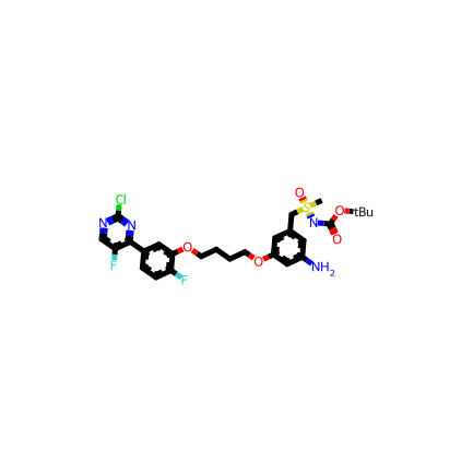 CC(C)(C)OC(=O)N=S(C)(=O)Cc1cc(N)cc(OCCCCOc2cc(-c3nc(Cl)ncc3F)ccc2F)c1